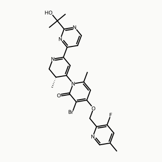 Cc1cnc(COc2cc(C)n(C3=CC(c4ccnc(C(C)(C)O)n4)=NC[C@H]3C)c(=O)c2Br)c(F)c1